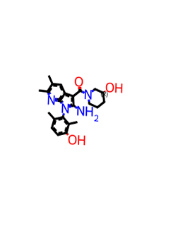 Cc1cc2c(C(=O)N3CCC[C@@H](O)C3)c(N)n(-c3c(C)ccc(O)c3C)c2nc1C